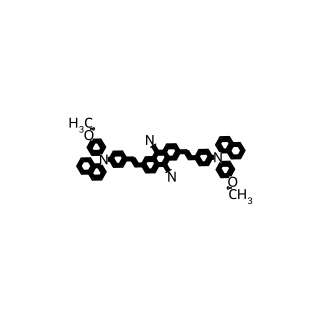 CCOc1ccc(N(c2ccc(C=Cc3ccc4c(C#N)c5cc(C=Cc6ccc(N(c7ccc(OCC)cc7)c7cccc8c7CCCC8)cc6)ccc5c(C#N)c4c3)cc2)c2cccc3c2CCCC3)cc1